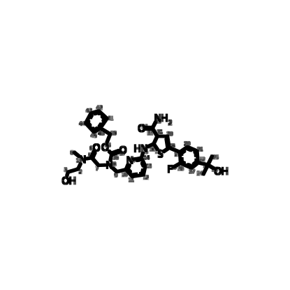 CN(CCO)C(=O)CN(Cc1cccc(NC2SC(c3ccc(C(C)(C)O)cc3F)=CC2C(N)=O)n1)C(=O)OCc1ccccc1